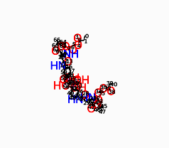 CCC(=O)OCOC(=O)N[C@@H](CC(=O)Nc1ccc(CC(Cc2ccc(NC(=O)C[C@H](NC(=O)OCOC(=O)CC)C(=O)OC(C)(C)C)cc2)(P(=O)(O)O)P(=O)(O)O)cc1)C(=O)OC(C)(C)C